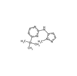 Cn1nccc1Nc1ncc[c]([Sn]([CH3])([CH3])[CH3])n1